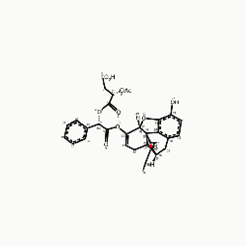 CC(=O)O[C@@H](CC(=O)O)C(=O)O[C@H](C(=O)OC1=CC[C@@]2(O)[C@H]3Cc4ccc(O)c5c4[C@@]2(CCN3C)[C@H]1O5)c1ccccc1